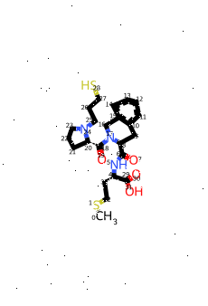 CSCC[C@@H](NC(=O)C1Cc2ccccc2CN1C(=O)[C@@H]1CCCN1CCCS)C(=O)O